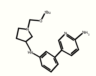 CC(C)(C)OCN1CCC(Nc2cccc(-c3ccc(N)nc3)c2)C1